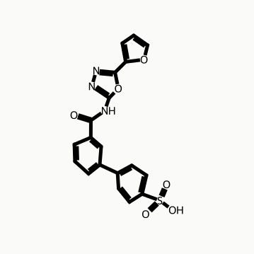 O=C(Nc1nnc(-c2ccco2)o1)c1cccc(-c2ccc(S(=O)(=O)O)cc2)c1